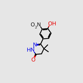 CC1(C)CC(=O)NN=C1c1ccc(O)c([N+](=O)[O-])c1